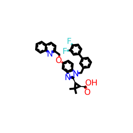 CC1(C)[C@H](C(=O)O)[C@@H]1c1nc2cc(OCc3ccc4ccccc4n3)ccc2n1Cc1cccc(-c2ccc(F)c(F)c2)c1